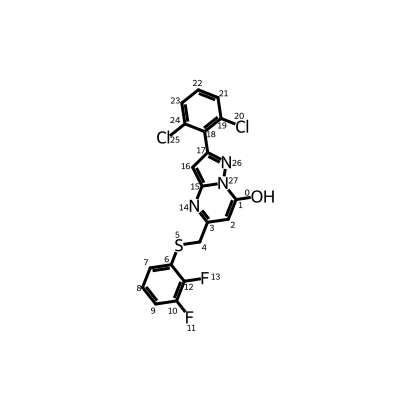 Oc1cc(CSc2cccc(F)c2F)nc2cc(-c3c(Cl)cccc3Cl)nn12